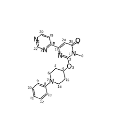 Cn1c(OC2CCN(c3ccccc3)CC2)nc(-c2ccncn2)cc1=O